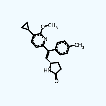 COc1nc(C(=C[C@H]2CCC(=O)N2)c2ccc(C)cc2)ccc1C1CC1